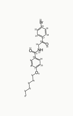 CCCCCCOc1ccc(C(=O)NCC(=O)c2ccc(Br)cc2)cc1